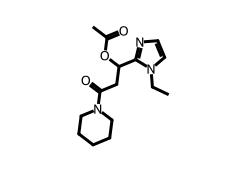 CCn1ccnc1C(CC(=O)N1CCCCC1)OC(C)=O